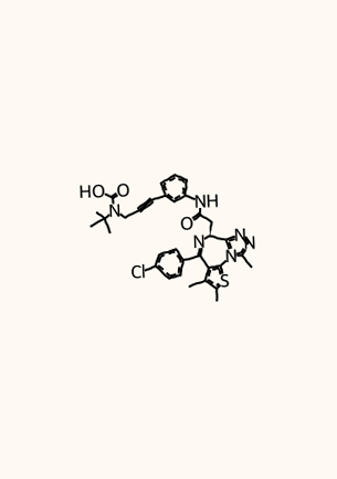 Cc1sc2c(c1C)C(c1ccc(Cl)cc1)=N[C@@H](CC(=O)Nc1cccc(C#CCN(C(=O)O)C(C)(C)C)c1)c1nnc(C)n1-2